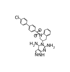 NC1=Nc2[nH]ncc2C(N)N1C1Cc2ccccc2N(S(=O)(=O)c2ccc(-c3ccc(Cl)cc3)cc2)C1